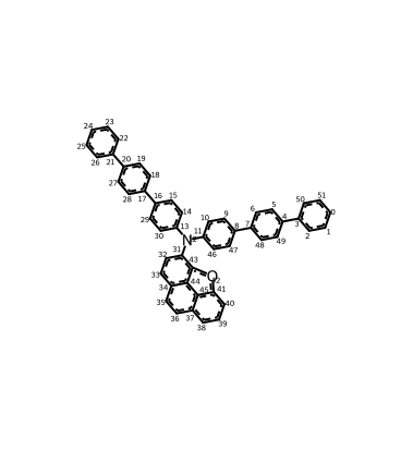 c1ccc(-c2ccc(-c3ccc(N(c4ccc(-c5ccc(-c6ccccc6)cc5)cc4)c4ccc5ccc6cccc7oc4c5c67)cc3)cc2)cc1